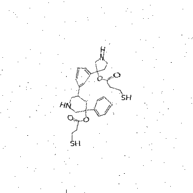 O=C(CCS)OC1(c2cccc(C3CNCC(OC(=O)CCS)(c4ccccc4)C3)c2)CCNC1